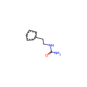 NC(=O)N[CH]Cc1ccccc1